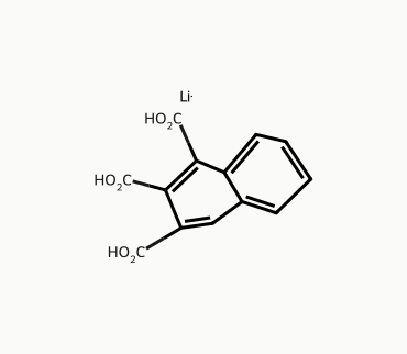 O=C(O)c1cc2ccccc2c(C(=O)O)c1C(=O)O.[Li]